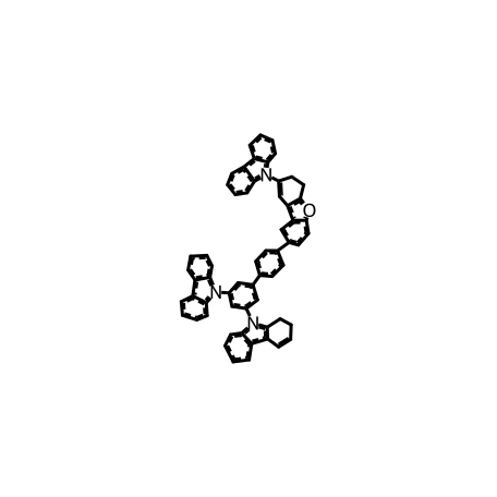 C1=Cc2c(n(-c3cc(-c4ccc(-c5ccc6oc7c(c6c5)C=C(n5c6ccccc6c6ccccc65)CC7)cc4)cc(-n4c5ccccc5c5ccccc54)c3)c3ccccc23)CC1